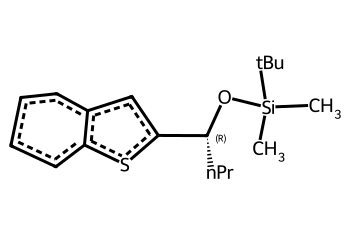 CCC[C@@H](O[Si](C)(C)C(C)(C)C)c1cc2ccccc2s1